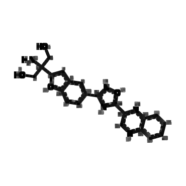 NC(CO)(CO)c1cc2cc(-c3noc(-c4cnc5ccccc5n4)n3)ccc2o1